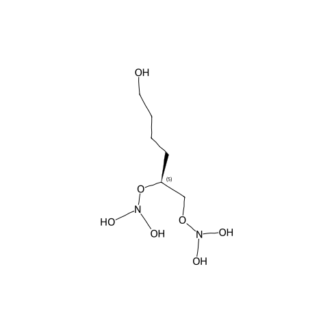 OCCCC[C@@H](CON(O)O)ON(O)O